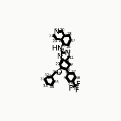 FC(F)(F)c1ccc(-c2cc3cnc(Nc4cccc5cnccc45)nc3cc2OCc2ccccc2)cc1